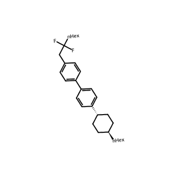 CCCCCCC(F)(F)Cc1ccc(-c2ccc([C@H]3CC[C@H](CCCCCC)CC3)cc2)cc1